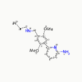 COc1cc(-c2cccc(N)n2)c(OC)cc1CNCCC(C)C